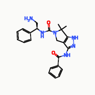 CC1(C)c2[nH]nc(NC(=O)c3ccccc3)c2CN1C(=O)N[C@H](CN)c1ccccc1